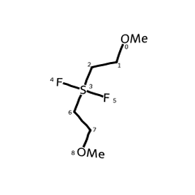 COCCS(F)(F)CCOC